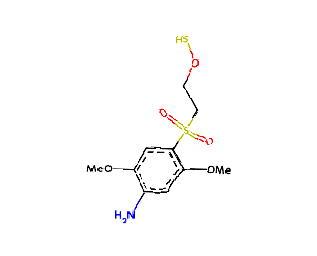 COc1cc(S(=O)(=O)CCOS)c(OC)cc1N